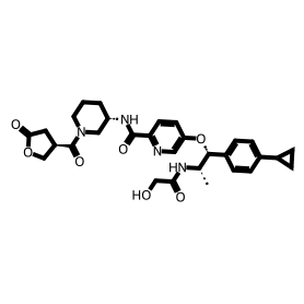 C[C@H](NC(=O)CO)[C@H](Oc1ccc(C(=O)N[C@H]2CCCN(C(=O)[C@H]3COC(=O)C3)C2)nc1)c1ccc(C2CC2)cc1